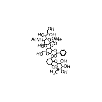 COC(=O)C1(OC2C(O)C(CO)OC(OC3CCCC(C)C3OC3OC(C)C(O)C(O)C3O)C2OC(=O)c2ccccc2)CC(O)C(NC(C)=O)C([C@H](O)[C@H](O)CO)O1